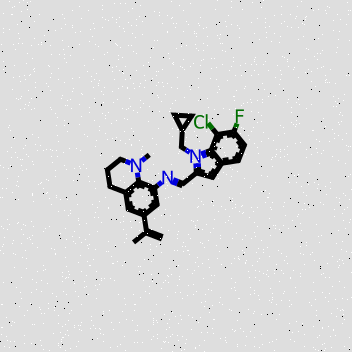 C=C(C)c1cc2c(c(/N=C/c3cc4ccc(F)c(Cl)c4n3CC3CC3)c1)N(C)CCC2